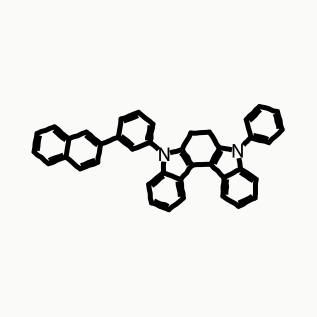 c1ccc(-n2c3c(c4ccccc42)-c2c(n(-c4cccc(-c5ccc6ccccc6c5)c4)c4ccccc24)CC3)cc1